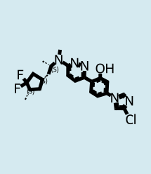 C[C@@H](C[C@@H]1C[C@H](C)C(F)(F)C1)N(C)c1ccc(-c2ccc(-n3cnc(Cl)c3)cc2O)nn1